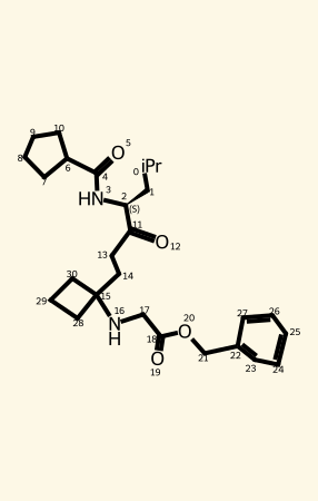 CC(C)C[C@H](NC(=O)C1CCCC1)C(=O)CCC1(NCC(=O)OCc2ccccc2)CCC1